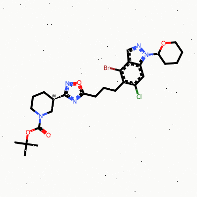 CC(C)(C)OC(=O)N1CCC[C@@H](c2noc(CCCc3c(Cl)cc4c(cnn4C4CCCCO4)c3Br)n2)C1